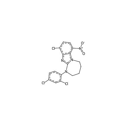 O=[N+]([O-])c1ccc(Cl)c2nc3n(c12)CCCCN3c1ccc(Cl)cc1Cl